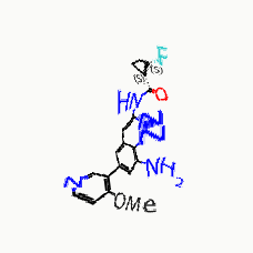 COc1ccncc1-c1cc(N)c2nnc(NC(=O)[C@@H]3C[C@@H]3F)cc2c1